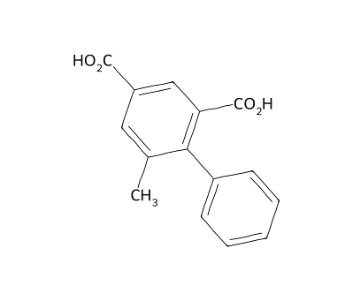 Cc1cc(C(=O)O)cc(C(=O)O)c1-c1ccccc1